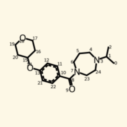 CC(C)N1CCCN(C(=O)c2ccc(OC3CCOCC3)cc2)CC1